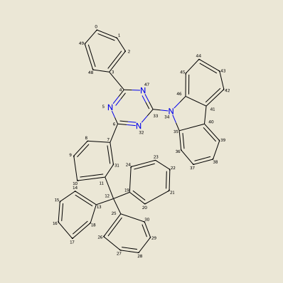 c1ccc(-c2nc(-c3cccc(C(c4ccccc4)(c4ccccc4)c4ccccc4)c3)nc(-n3c4ccccc4c4ccccc43)n2)cc1